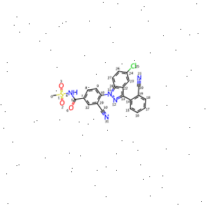 CS(=O)(=O)NC(=O)c1ccc(-n2nc(-c3ccccc3C#N)c3cc(Cl)ccc32)c(C#N)c1